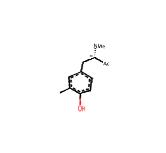 CN[C@@H](Cc1ccc(O)c(C)c1)C(C)=O